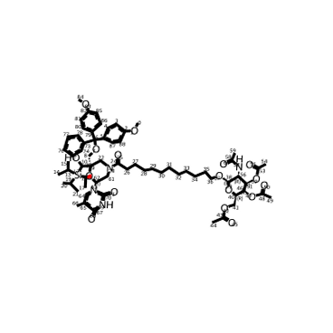 COc1ccc(C(OC[C@]2(C(O)[Si](C(C)C)(C(C)C)C(C)C)CN(C(=O)CCCCCCCCCCCO[C@@H]3O[C@H](COC(C)=O)[C@H](OC(C)=O)[C@H](OC(C)=O)[C@H]3NC(C)=O)C[C@H](n3cc(C)c(=O)[nH]c3=O)O2)(c2ccccc2)c2ccc(OC)cc2)cc1